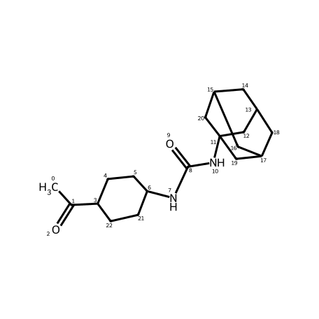 CC(=O)C1CCC(NC(=O)NC23CC4CC(CC(C4)C2)C3)CC1